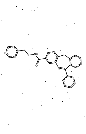 O=C(NCCc1ccncc1)c1ccc2c(c1)N=C(c1ccccn1)c1ccccc1S2